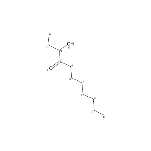 CCCCCCCC(=O)C(O)CC